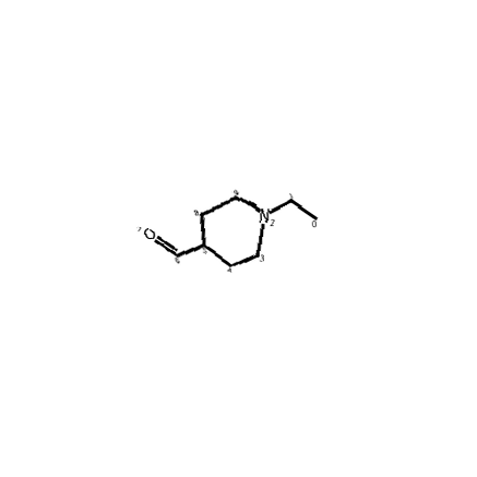 CCN1CCC(C=O)CC1